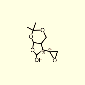 CC1(C)OCC2C(OC(O)[C@@H]2[C@H]2CO2)O1